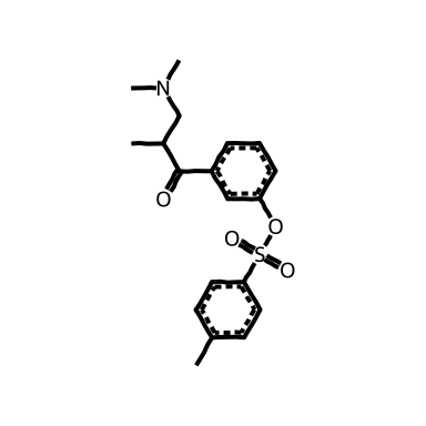 Cc1ccc(S(=O)(=O)Oc2cccc(C(=O)C(C)CN(C)C)c2)cc1